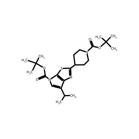 CC(C)c1cn(C(=O)OC(C)(C)C)c2sc(C3CCN(C(=O)OC(C)(C)C)CC3)nc12